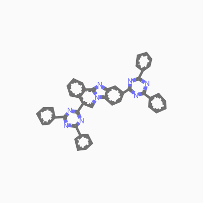 c1ccc(-c2nc(-c3ccccc3)nc(-c3ccc4c(c3)nc3c5ccccc5c(-c5nc(-c6ccccc6)nc(-c6ccccc6)n5)cn43)n2)cc1